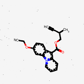 C#CC(C)COC(=O)c1c2ccc(OCC#N)cc2n2ccccc12